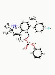 COc1cc(F)ccc1-c1ccc2c(c1COC(=O)Oc1ccccc1)C(C)=CC(C)(C)N2